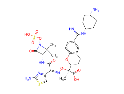 CC1(C)[C@H](NC(=O)/C(=N\O[C@](C)(C(=O)O)[C@H]2CCc3cc(C(=N)N[C@H]4CC[C@@H](N)CC4)ccc3O2)c2csc(N)n2)C(=O)N1OS(=O)(=O)O